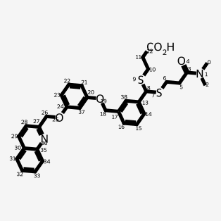 CN(C)C(=O)CCSC(SCCC(=O)O)c1cccc(COc2cccc(OCc3ccc4ccccc4n3)c2)c1